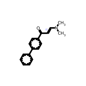 CN(C)/C=C/C(=O)c1ccc(-c2ccccc2)cc1